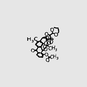 CC(=O)Oc1cccc2c1C(=O)c1c(cc(C)c3c1O[C@]1(OC(C)=O)C4OC(C5OCCCO5)(OC34)[C@]13CO3)C2=O